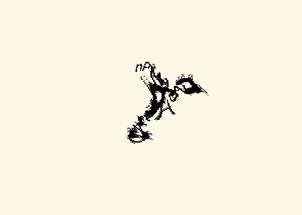 CCCn1nc(C(=O)N2CCCCC2)c2c1CCC(NCCCN1CCOCC1)C2